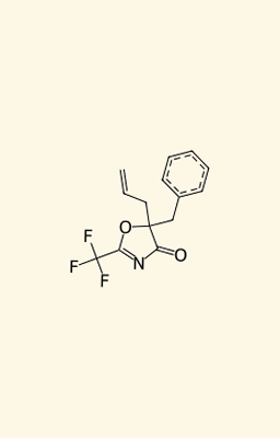 C=CCC1(Cc2ccccc2)OC(C(F)(F)F)=NC1=O